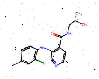 C[C@H](O)CNC(=O)c1ccncc1Nc1ccc(I)cc1F